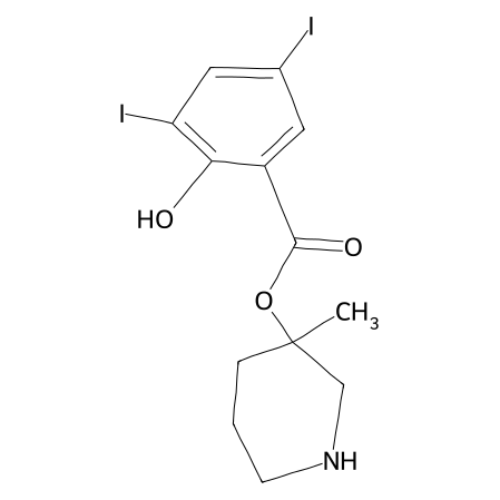 CC1(OC(=O)c2cc(I)cc(I)c2O)CCCNC1